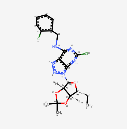 [CH2]C[C@H]1O[C@@H](n2nnc3c(NCc4ccccc4Cl)nc(Cl)nc32)[C@@H]2OC(C)(C)O[C@@H]21